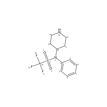 O=S(=O)(N(c1ccccc1)C1CCNCC1)C(F)(F)F